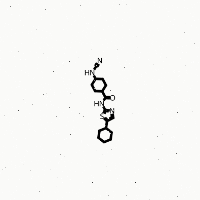 N#CNC1CCC(C(=O)Nc2ncc(C3CCCCC3)s2)CC1